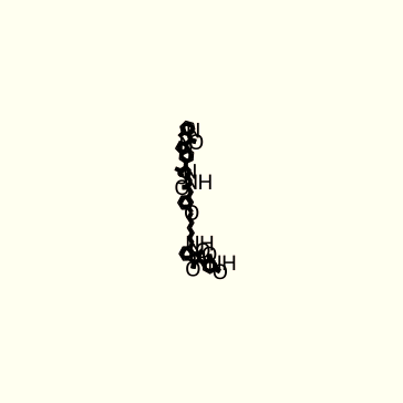 Cc1cccnc1C(=O)N1CCc2cc(-c3nc(NC(=O)Cc4cccc(OCCCCCNc5cccc6c5C(=O)N(C5CCC(=O)NC5=O)C6=O)c4)sc3C)ccc21